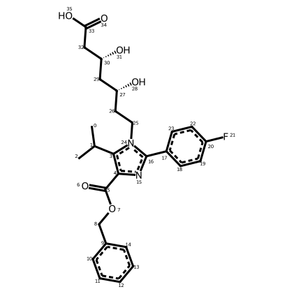 CC(C)c1c(C(=O)OCc2ccccc2)nc(-c2ccc(F)cc2)n1CC[C@@H](O)C[C@@H](O)CC(=O)O